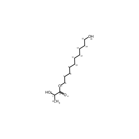 CC(O)C(=O)OCCCCCCCCCCO